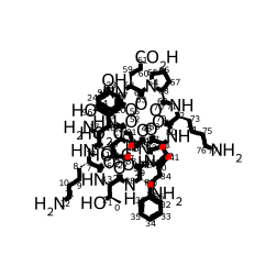 C[C@@H](O)[C@H](NC(=O)[C@H](CCCCN)NC(=O)[C@@H](N)Cc1ccc(O)cc1)C(=O)N[C@@H](Cc1ccccc1)C(=O)N1CCC[C@H]1C(=O)N1CCC[C@H]1C(=O)N[C@H](C(=O)N[C@@H](CCC(=O)O)C(=O)N1CCC[C@H]1C(=O)N[C@@H](CCCCN)C(=O)N[C@@H](CCCCN)C(=O)N[C@@H](CC(=O)O)C(=O)O)[C@@H](C)O